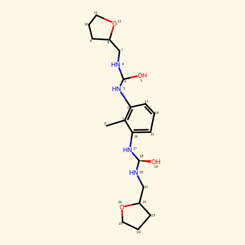 Cc1c(NC(O)NCC2CCCO2)cccc1N[C@@H](O)NCC1CCCO1